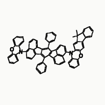 CC1(C)c2ccccc2-c2cc3c(cc21)N(c1ccc2c4c(-c5ccccc5)c5c6cccc7c(N8c9ccccc9Oc9ccccc98)ccc(c5c(-c5ccccc5)c4c4cccc1c42)c76)c1ccccc1O3